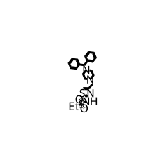 CCS(=O)(=O)Nc1nc(CN2CCN(C(c3ccccc3)c3ccccc3)CC2)cs1